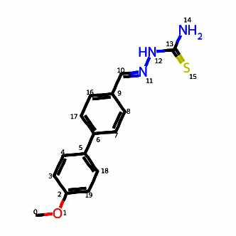 COc1ccc(-c2ccc(C=NNC(N)=S)cc2)cc1